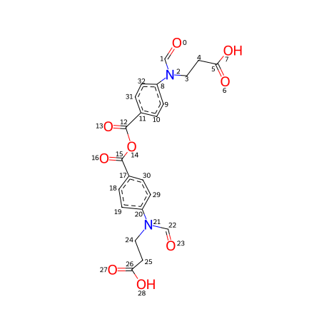 O=CN(CCC(=O)O)c1ccc(C(=O)OC(=O)c2ccc(N(C=O)CCC(=O)O)cc2)cc1